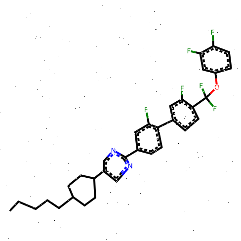 CCCCCC1CCC(c2cnc(-c3ccc(-c4ccc(C(F)(F)Oc5ccc(F)c(F)c5)c(F)c4)c(F)c3)nc2)CC1